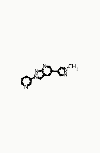 Cn1cc(-c2cnc3nn(-c4cccnc4)cc3c2)cn1